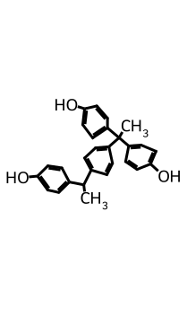 CC(c1ccc(O)cc1)c1ccc(C(C)(c2ccc(O)cc2)c2ccc(O)cc2)cc1